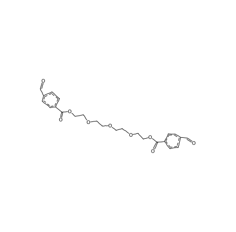 O=Cc1ccc(C(=O)OCCOCCOCCOCCOC(=O)c2ccc(C=O)cc2)cc1